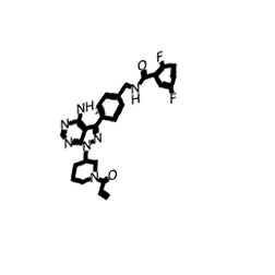 C=CC(=O)N1CCCC(n2nc(-c3ccc(CNC(=O)c4cc(F)ccc4F)cc3)c3c(N)ncnc32)C1